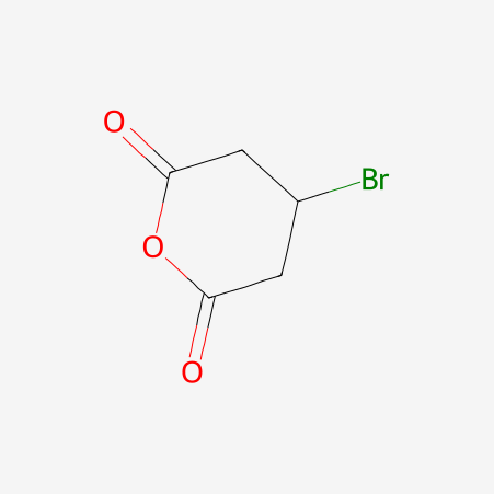 O=C1CC(Br)CC(=O)O1